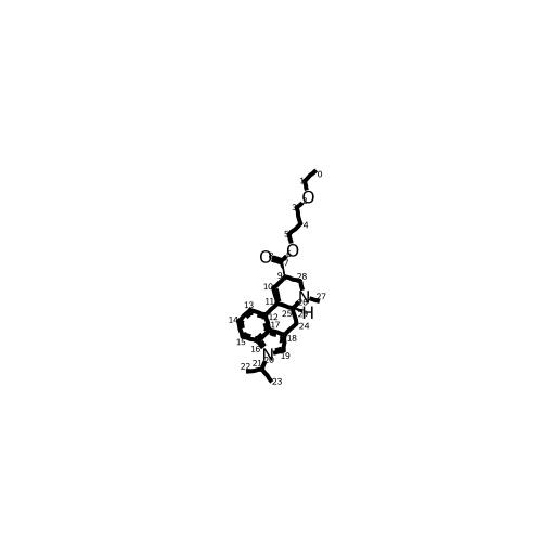 CCOCCCOC(=O)[C@@H]1C=C2c3cccc4c3c(cn4C(C)C)C[C@H]2N(C)C1